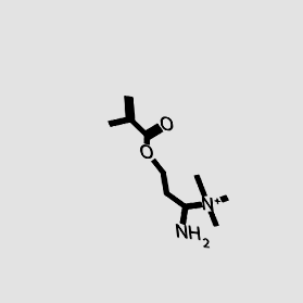 C=C(C)C(=O)OCCC(N)[N+](C)(C)C